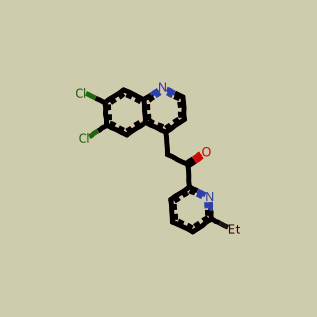 CCc1cccc(C(=O)Cc2ccnc3cc(Cl)c(Cl)cc23)n1